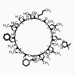 CCCCN1CC(=O)N(C)[C@@H](CC(C)C)C(=O)N[C@@H](CCC[C@@H]2CC(F)(F)CN2)C(=O)N(C)[C@@H](CC(C)C)C(=O)N(C)[C@@H](CC(C)C)C(=O)N[C@H](C(=O)N2CCCCC2)CC(=O)N[C@H](CC)C(=O)N(C)[C@@H](Cc2ccccc2)C(=O)N[C@@H](CC(C)C)C(=O)N(C)[C@@H](CC)C(=O)N[C@@H]([C@@H](C)O)C1=O